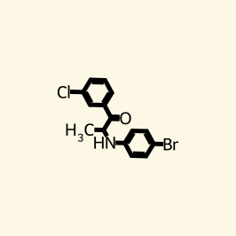 CC(Nc1ccc(Br)cc1)C(=O)c1cccc(Cl)c1